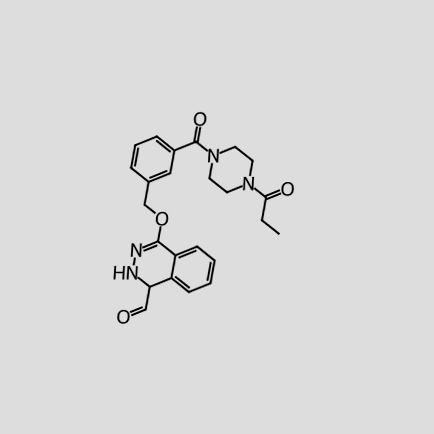 CCC(=O)N1CCN(C(=O)c2cccc(COC3=NNC(C=O)c4ccccc43)c2)CC1